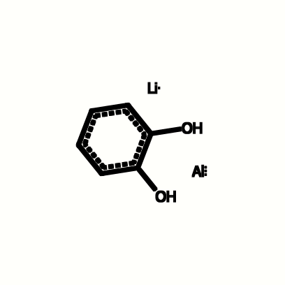 Oc1ccccc1O.[Al].[Li]